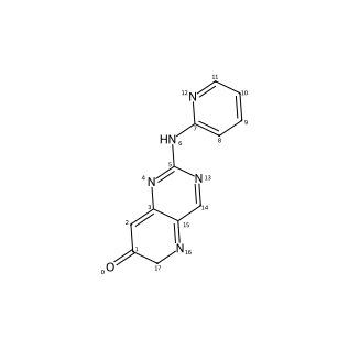 O=C1C=c2nc(Nc3ccccn3)ncc2=NC1